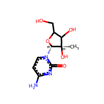 C[C@@]1(O)C(O)C(CO)O[C@H]1n1ccc(N)nc1=O